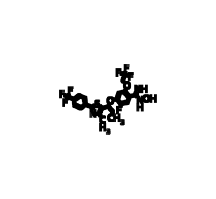 CCC(Oc1cc(OCC(F)(F)F)c(C(=N)NO)cc1F)c1sc(-c2ccc(C(F)(F)F)cc2)nc1C